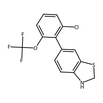 FC(F)(F)Oc1cccc(Cl)c1-c1ccc2c(c1)SCN2